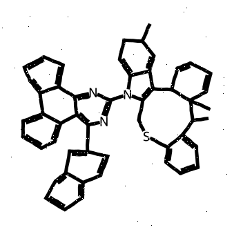 CC1C=c2c3c(n(-c4nc(-c5ccc6ccccc6c5)c5c6ccccc6c6ccccc6c5n4)c2=CC1)CSc1ccccc1C(C)C1(C)C=CC=CC31